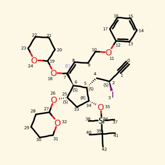 C#C[C@@H](I)C[C@H]1[C@H](/C(=C\CCOc2ccccc2)OC2CCCCO2)[C@@H](OC2CCCCO2)C[C@H]1O[Si](C)(C)C(C)(C)C